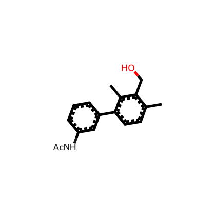 CC(=O)Nc1cccc(-c2ccc(C)c(CO)c2C)c1